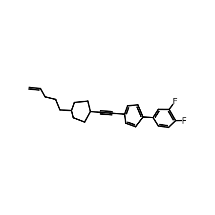 C=CCCCC1CCC(C#Cc2ccc(-c3ccc(F)c(F)c3)cc2)CC1